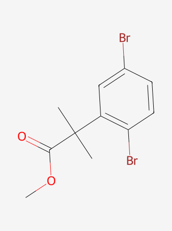 COC(=O)C(C)(C)c1cc(Br)ccc1Br